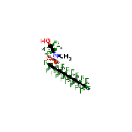 CN(C(F)(F)C(O)(F)F)S(=O)(=O)C(F)(F)C(F)(F)C(F)(F)C(F)(F)C(F)(F)C(F)(F)C(F)(F)C(F)(F)F